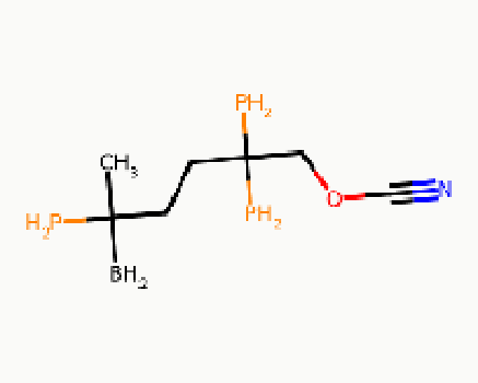 BC(C)(P)CCC(P)(P)COC#N